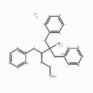 CCCCCCCCCCCCC(Cc1ccccc1)C(P)(Cc1ccccc1)Cc1ccccc1.I